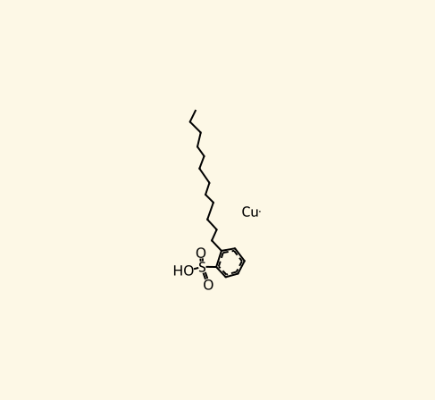 CCCCCCCCCCCCc1ccccc1S(=O)(=O)O.[Cu]